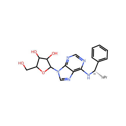 CCC[C@H](Nc1ncnc2c1ncn2C1OC(CO)C(O)C1O)c1ccccc1